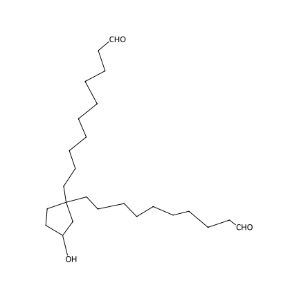 O=CCCCCCCCCCC1(CCCCCCCCCC=O)CCC(O)C1